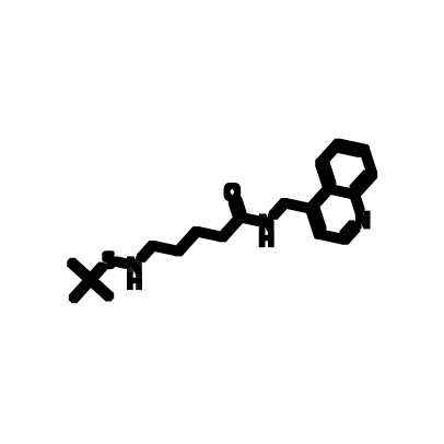 CC(C)(C)SNCCCCC(=O)NCc1ccnc2ccccc12